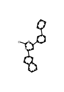 Clc1nc(-c2cccc(-c3ccccc3)c2)cc(-c2ccc3ccccc3c2)n1